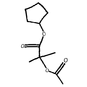 CC(=O)OC(C)(C)C(=O)OC1CCCC1